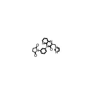 O=C1CCC(=O)N1c1cccc(-n2c(=O)c(Cn3ccnc3)nc3cccnc32)c1